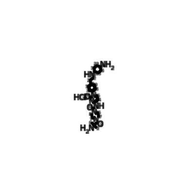 CC(C)(N)C(=O)N1CCN(C(=O)Nc2ccn(-c3ccc(CCN[C@H]4CC[C@H](N)CC4)cc3)c(=O)n2)CC1.Cl